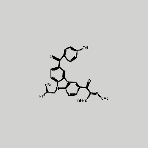 CCCCC/C(=N\OC(C)=O)C(=O)c1ccc2c(c1)c1cc(C(=O)c3ccc(O)cc3)ccc1n2CC(CC)CCCC